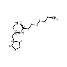 CCCCCCCC(=O)N[C@@H](CO)CN1CCCC1